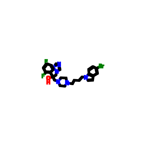 OC(CN1CCN(CCCCn2ccc3cc(Br)ccc32)CC1)(Cn1cncn1)c1ccc(F)cc1F